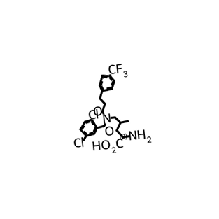 CC(C[C@@H](N)C(=O)O)CN(C(=O)CCc1ccc(C(F)(F)F)cc1)C(=O)c1cc(Cl)ccc1Cl